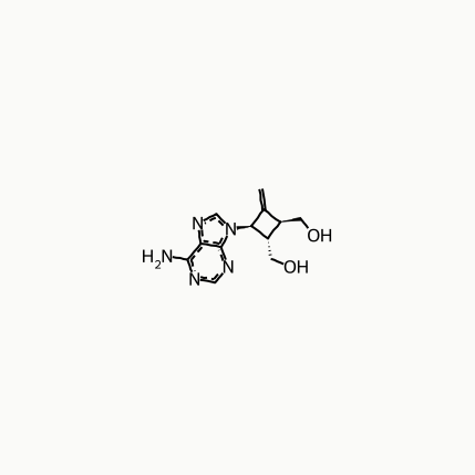 C=C1[C@@H](CO)[C@H](CO)[C@H]1n1cnc2c(N)ncnc21